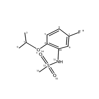 CC(C)Oc1ccc(F)cc1NS(C)(=O)=O